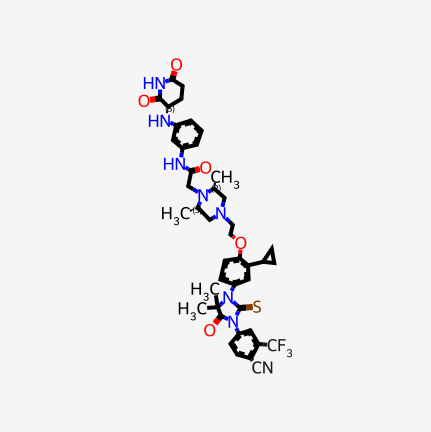 C[C@@H]1CN(CCOc2ccc(N3C(=S)N(c4ccc(C#N)c(C(F)(F)F)c4)C(=O)C3(C)C)cc2C2CC2)C[C@H](C)N1CC(=O)Nc1cccc(N[C@H]2CCC(=O)NC2=O)c1